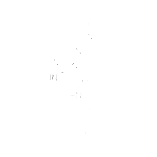 C=CC(=O)N1CCN(c2cnc3[nH]cc(C(=O)NCc4ccc(OC)cc4)c3n2)CC1